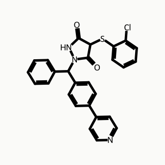 O=C1NN(C(c2ccccc2)c2ccc(-c3ccncc3)cc2)C(=O)C1Sc1ccccc1Cl